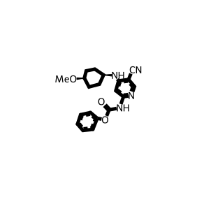 CO[C@H]1CC[C@@H](Nc2cc(NC(=O)Oc3ccccc3)ncc2C#N)CC1